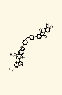 COc1cc2nn(C3CCN(CC4CCN(c5ccc6c(c5)C(=O)N(C5CCC(=O)NC5=O)C6=O)CC4)CC3)cc2cc1NC(=O)c1cnn2cc(C)cnc12